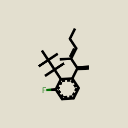 C=C(/C(C)=C/CC)c1cccc(F)c1C(C)(C)C(C)(C)C